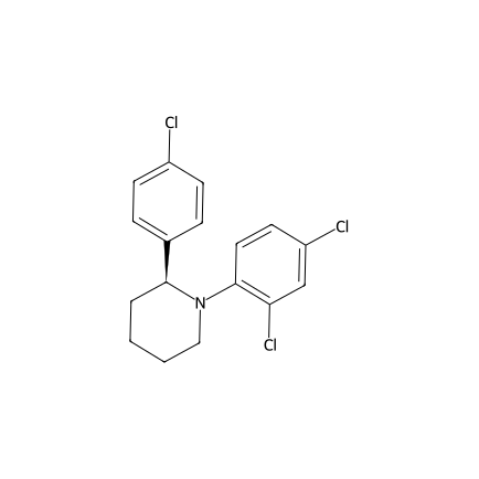 Clc1ccc([C@@H]2CCCCN2c2ccc(Cl)cc2Cl)cc1